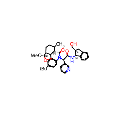 CO[C@H]1OCC2C1CCC(C)[C@@H]2C(=O)N(c1ccc(C(C)(C)C)cc1)C(C(=O)N[C@@H]1c2ccccc2C[C@@H]1CO)c1cccnc1